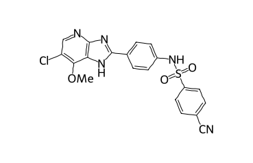 COc1c(Cl)cnc2nc(-c3ccc(NS(=O)(=O)c4ccc(C#N)cc4)cc3)[nH]c12